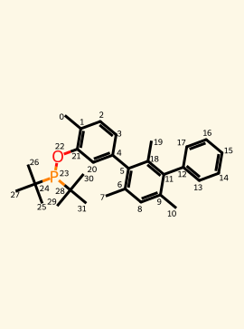 Cc1ccc(-c2c(C)cc(C)c(-c3ccccc3)c2C)cc1OP(C(C)(C)C)C(C)(C)C